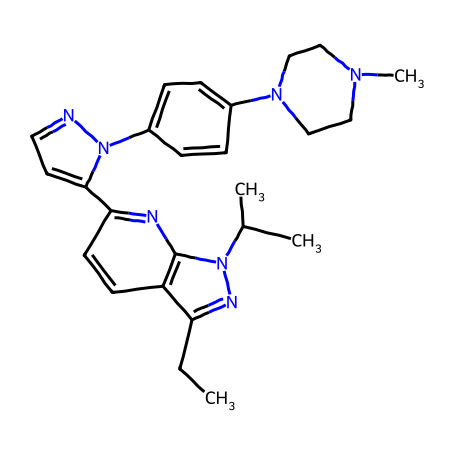 CCc1nn(C(C)C)c2nc(-c3ccnn3-c3ccc(N4CCN(C)CC4)cc3)ccc12